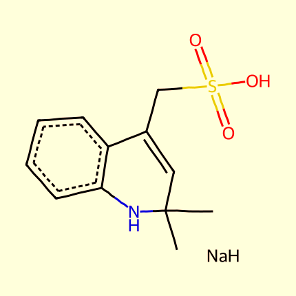 CC1(C)C=C(CS(=O)(=O)O)c2ccccc2N1.[NaH]